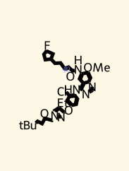 CCc1cn(CC(=O)CCC(C)(C)C)nc1Oc1ccc(Nc2ncnc3cc(OC)c(NC(=O)/C=C/CCC4CCC(F)C4)cc23)c(Cl)c1